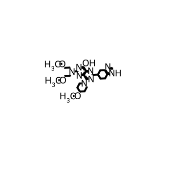 COCCN(CCOC)c1nc(O)c2nc(C3CCc4[nH]cnc4C3)nc(N3CCC(OC)CC3)c2n1